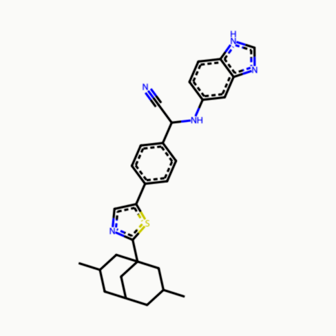 CC1CC2CC(C)CC(c3ncc(-c4ccc(C(C#N)Nc5ccc6[nH]cnc6c5)cc4)s3)(C1)C2